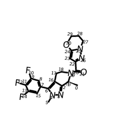 C[C@H]1c2nn(C)c(-c3cc(F)c(F)c(F)c3)c2CCN1C(=O)c1cc2n(n1)CCCO2